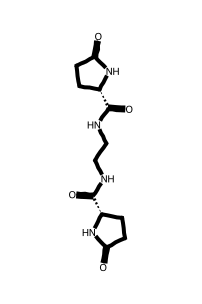 O=C1CC[C@@H](C(=O)NCCNC(=O)[C@@H]2CCC(=O)N2)N1